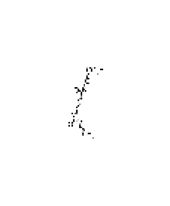 C=CCOC(=O)NCCCCCC(=O)NCOCCC(=O)O